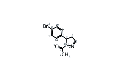 CC(=O)N1N=CCC1c1ccc(Br)cc1